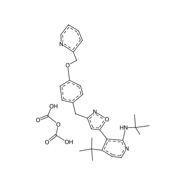 CC(C)(C)Nc1nccc(C(C)(C)C)c1-c1cc(Cc2ccc(OCc3ccccn3)cc2)no1.O=C(O)OC(=O)O